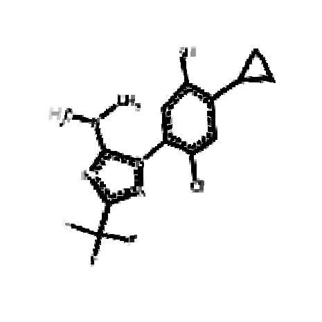 CN(C)c1nc(C(F)(F)F)nn1-c1cc(S)c(C2CC2)cc1Cl